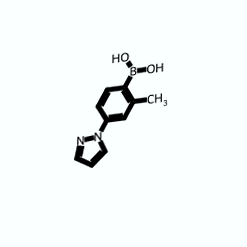 Cc1cc(-n2cccn2)ccc1B(O)O